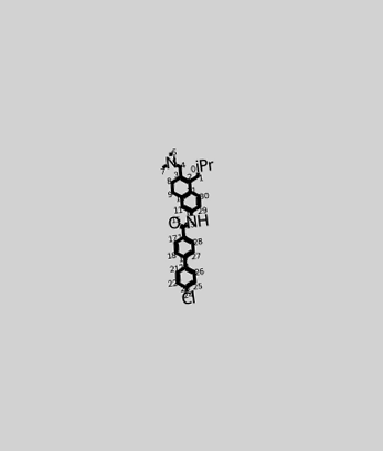 CC(C)CC1=C(CN(C)C)CCc2cc(NC(=O)c3ccc(-c4ccc(Cl)cc4)cc3)ccc21